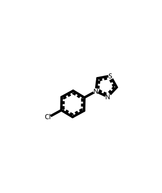 Clc1ccc(-[n+]2cscn2)cc1